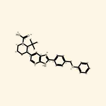 CC(C)(C)C1C(c2cnc3[nH]c(-c4ccc(COc5ccccc5)cc4)nc3c2)CCCN1C(=O)O